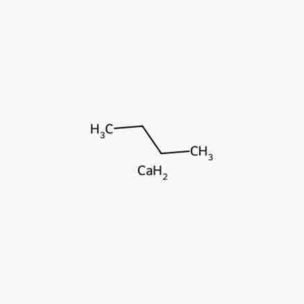 CCCC.[CaH2]